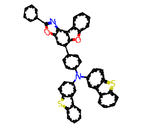 c1ccc(-c2nc3c(cc(-c4ccc(N(c5ccc6sc7ccccc7c6c5)c5ccc6sc7ccccc7c6c5)cc4)c4oc5ccccc5c43)o2)cc1